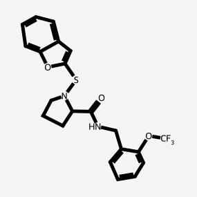 O=C(NCc1ccccc1OC(F)(F)F)C1CCCN1Sc1cc2ccccc2o1